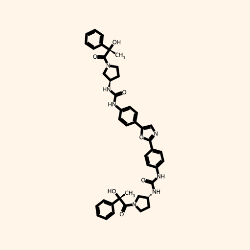 C[C@@](O)(C(=O)N1CC[C@@H](NC(=O)Nc2ccc(-c3cnc(-c4ccc(NC(=O)N[C@@H]5CCN(C(=O)[C@@](C)(O)c6ccccc6)C5)cc4)o3)cc2)C1)c1ccccc1